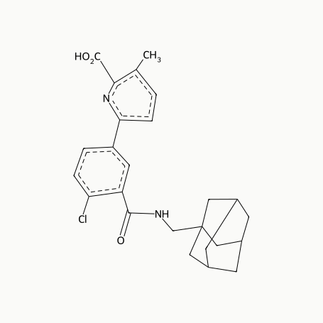 Cc1ccc(-c2ccc(Cl)c(C(=O)NCC34CC5CC(CC(C5)C3)C4)c2)nc1C(=O)O